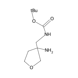 CC(C)(C)OC(=O)NCC1(N)CCOC1